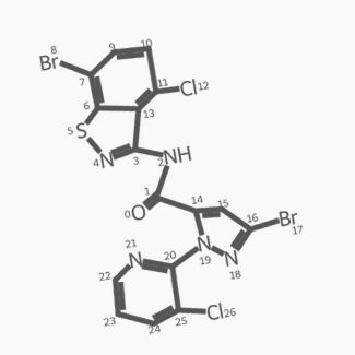 O=C(Nc1nsc2c(Br)ccc(Cl)c12)c1cc(Br)nn1-c1ncccc1Cl